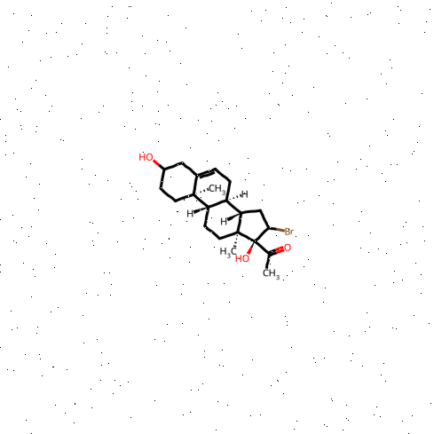 CC(=O)[C@@]1(O)C(Br)C[C@H]2[C@@H]3CC=C4CC(O)CC[C@]4(C)[C@H]3CC[C@@]21C